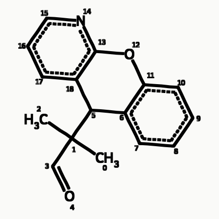 CC(C)(C=O)C1c2ccccc2Oc2ncccc21